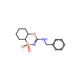 O=S1(=O)N=C(NCc2ccccc2)OC2CCCCC21